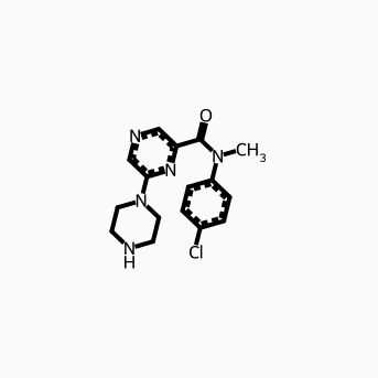 CN(C(=O)c1cncc(N2CCNCC2)n1)c1ccc(Cl)cc1